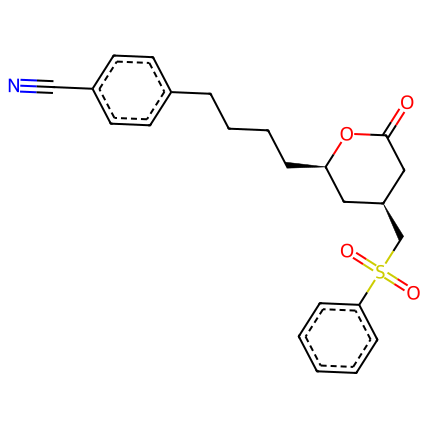 N#Cc1ccc(CCCC[C@@H]2C[C@H](CS(=O)(=O)c3ccccc3)CC(=O)O2)cc1